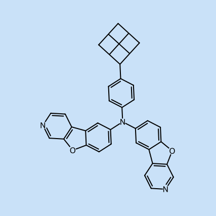 c1cc2c(cn1)oc1ccc(N(c3ccc(C4C5CC6CC7CC4C675)cc3)c3ccc4oc5cnccc5c4c3)cc12